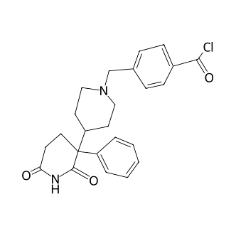 O=C1CCC(c2ccccc2)(C2CCN(Cc3ccc(C(=O)Cl)cc3)CC2)C(=O)N1